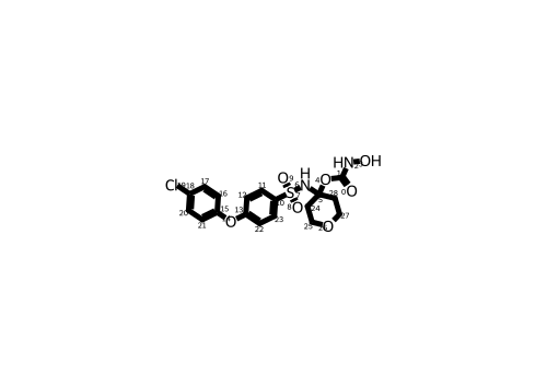 O=C(NO)OC1(NS(=O)(=O)c2ccc(Oc3ccc(Cl)cc3)cc2)CCOCC1